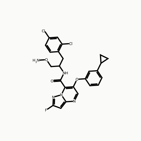 NOCC(Cc1ccc(Cl)cc1Cl)NC(=O)c1c(Oc2cccc(C3CC3)c2)cnc2cc(F)nn12